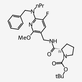 CCCN(Cc1ccccc1)c1nc(OC)c(CNC(=O)[C@@H]2CCCN2C(=O)OC(C)(C)C)cc1F